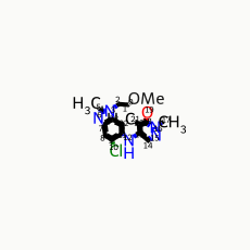 COCCn1c(C)nc2cc(Cl)c(Nc3cnn(C)c(=O)c3C)cc21